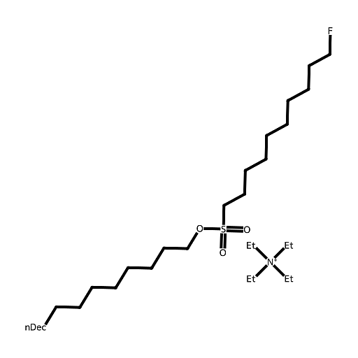 CCCCCCCCCCCCCCCCCCOS(=O)(=O)CCCCCCCCCCF.CC[N+](CC)(CC)CC